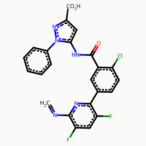 C=Nc1nc(-c2ccc(Cl)c(C(=O)Nc3cc(C(=O)O)nn3-c3ccccc3)c2)c(F)cc1F